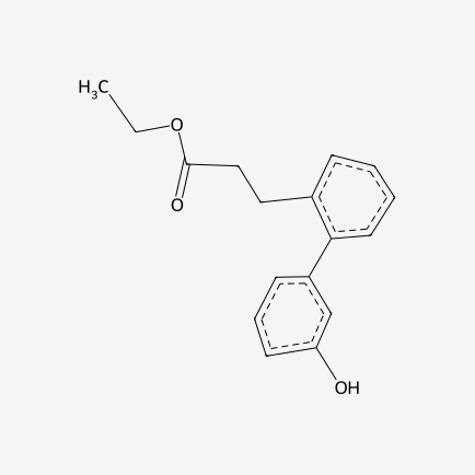 CCOC(=O)CCc1ccccc1-c1cccc(O)c1